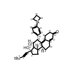 CC(C)(C)C#C[C@]1(O)CC[C@H]2[C@@H]3CCC4=CC(=O)CCC4=C3[C@@H](c3ccc(N4CCC4)cc3)C[C@@]21C